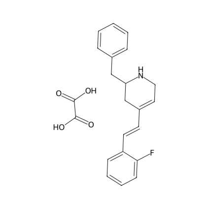 Fc1ccccc1/C=C/C1=CCNC(Cc2ccccc2)C1.O=C(O)C(=O)O